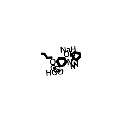 CCCCOc1cc(O)c(-n2nnc3ccccc32)cc1S(=O)(=O)O.[NaH]